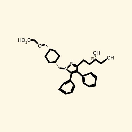 O=C(O)COC[C@H]1CC[C@@H](Cn2nc(CC[C@H](O)CO)c(-c3ccccc3)c2-c2ccccc2)CC1